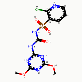 COc1nc(NC(=O)NS(=O)(=O)c2cccnc2Cl)nc(OC)n1